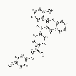 CC(C1=Nc2ccccc2CN1c1ccccc1O)N1CCN(C(=O)OCc2ccc(Cl)cc2)CC1